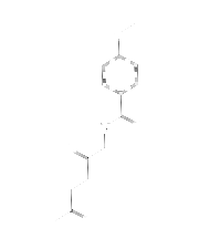 COc1ccc(C(=O)NCC(=O)CCC(C)=O)cc1